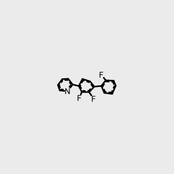 Fc1ccccc1-c1ccc(-c2ccccn2)c(F)c1F